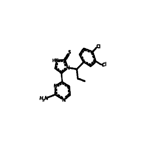 CCC(c1ccc(Cl)c(Cl)c1)n1c(-c2ccnc(N)n2)c[nH]c1=S